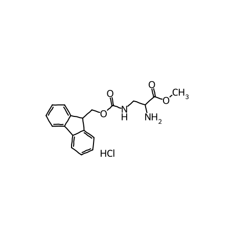 COC(=O)C(N)CNC(=O)OCC1c2ccccc2-c2ccccc21.Cl